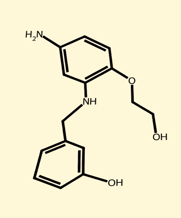 Nc1ccc(OCCO)c(NCc2cccc(O)c2)c1